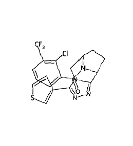 O=C(c1cccc(C(F)(F)F)c1Cl)N1C2CCC1c1nnc(-c3ccsc3)n1C2